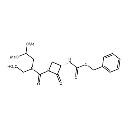 COC(CN(CC(=O)O)C(=O)N1C[C@H](NC(=O)OCc2ccccc2)C1=O)OC